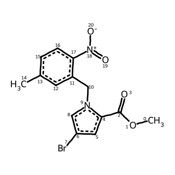 COC(=O)c1cc(Br)cn1Cc1cc(C)ccc1[N+](=O)[O-]